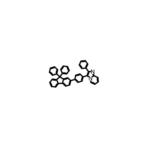 c1ccc(-c2nc3ccccn3c2-c2ccc(-c3ccc4c(c3)C(c3ccccc3)(c3ccccc3)c3ccccc3-4)cc2)cc1